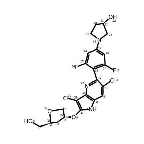 OC[C@@H]1C[C@H](Oc2[nH]c3cc(Cl)c(-c4c(F)cc(N5CC[C@@H](O)C5)cc4F)nc3c2Cl)CO1